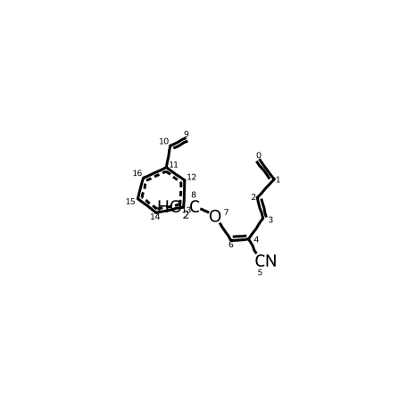 C=CC=CC(C#N)=COC(=O)O.C=Cc1ccccc1